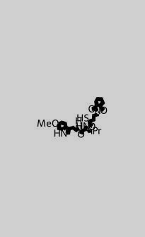 COc1ccc2c(CCNC(=O)[C@H](CC(C)C)NC(=O)C(S)CCCN3C(=O)c4ccccc4C3=O)c[nH]c2c1